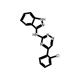 Clc1ccccc1-c1cnnc(Nc2n[nH]c3ccccc23)n1